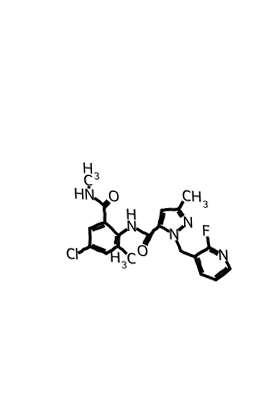 CNC(=O)c1cc(Cl)cc(C)c1NC(=O)c1cc(C)nn1Cc1cccnc1F